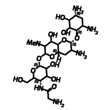 CNC1C(O[C@H]2OC(CO)[C@@H](NC(=O)CN)C(O)C2O)O[C@H]2CC(N)[C@@H](O[C@@H]3C(N)C[C@@H](N)C(O)C3O)OC2C1O